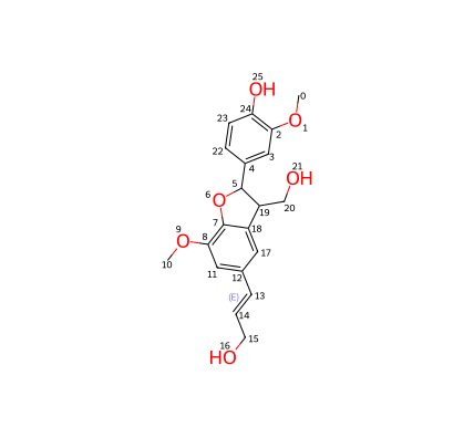 COc1cc(C2Oc3c(OC)cc(/C=C/CO)cc3C2CO)ccc1O